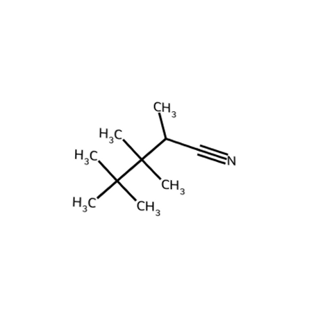 CC(C#N)C(C)(C)C(C)(C)C